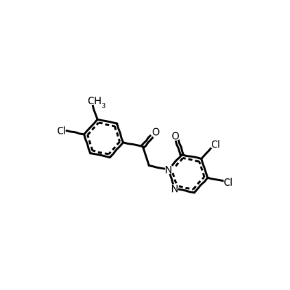 Cc1cc(C(=O)Cn2ncc(Cl)c(Cl)c2=O)ccc1Cl